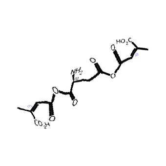 C/C(=C/C(=O)OC(=O)C[C@H](N)C(=O)OC(=O)/C=C(/C)C(=O)O)C(=O)O